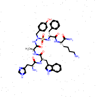 C[C@H](NC(=O)[C@@H](Cc1c[nH]c2ccccc12)NC(=O)[C@@H](N)Cc1c[nH]cn1)C(=O)NN(Cc1ccc(O)cc1)S(=O)(=O)N[C@H](Cc1ccccc1)C(=O)N[C@@H](CCCCN)C(N)=O